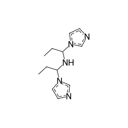 CCC(NC(CC)n1ccnc1)n1ccnc1